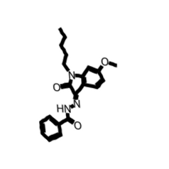 CCCCCN1C(=O)C(=NNC(=O)c2ccccc2)c2ccc(OC)cc21